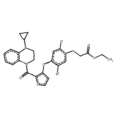 CCOC(=O)CCc1cc(Cl)c(Oc2ccsc2C(=O)N2CCN(C3CC3)c3ccccc32)cc1Cl